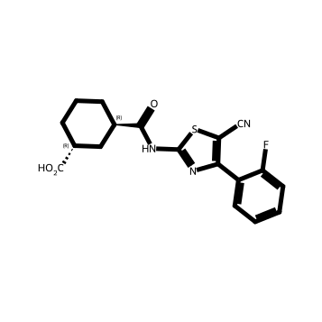 N#Cc1sc(NC(=O)[C@@H]2CCC[C@@H](C(=O)O)C2)nc1-c1ccccc1F